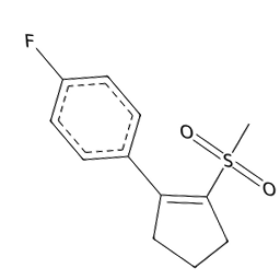 CS(=O)(=O)C1=C(c2ccc(F)cc2)CCC1